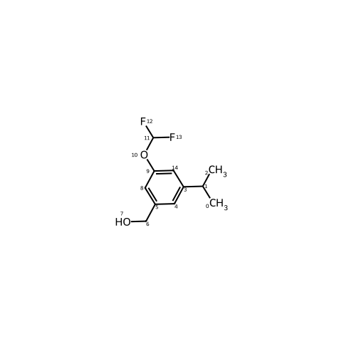 CC(C)c1cc(CO)cc(OC(F)F)c1